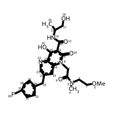 COCCN(C)C(=O)Cn1c(=O)c(C(=O)NC(C)CO)c(O)c2ncc(Cc3ccc(F)cc3)cc21